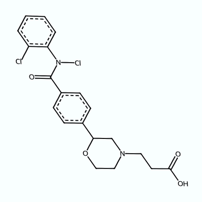 O=C(O)CCN1CCOC(c2ccc(C(=O)N(Cl)c3ccccc3Cl)cc2)C1